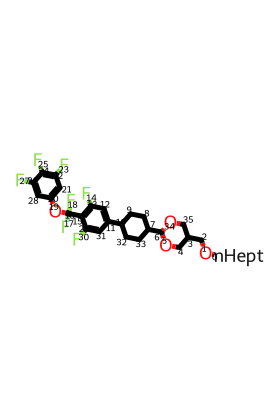 CCCCCCCOCC1COC(C2CCC(c3cc(F)c(C(F)(F)Oc4cc(F)c(F)c(F)c4)c(F)c3)CC2)OC1